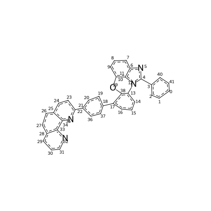 c1ccc(-c2nc3cccc4c3n2-c2cccc(-c3ccc(-c5ccc6ccc7cccnc7c6n5)cc3)c2O4)cc1